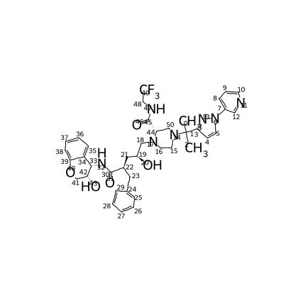 CC(C)(c1ccn(-c2cccnc2)n1)N1CCN(C[C@@H](O)C[C@@H](Cc2ccccc2)C(=O)N[C@H]2c3ccccc3OC[C@H]2O)[C@H](C(=O)NCC(F)(F)F)C1